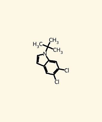 CC(C)(C)n1ccc2cc(Cl)c(Cl)cc21